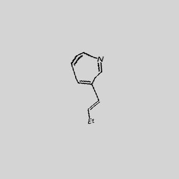 [CH2]CC=Cc1cccnc1